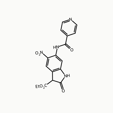 CCOC(=O)C1C(=O)Nc2cc(NC(=O)c3ccncc3)c([N+](=O)[O-])cc21